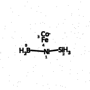 [BH2][Ni][SiH3].[Co].[Fe]